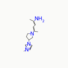 C/C(N)=C\C=C(/C)N1CCC(n2cc[n+](C)c2)C1